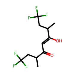 CC(CC(F)(F)F)C(=O)/C=C(\O)C(C)CC(F)(F)F